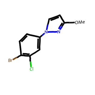 [CH2]Oc1ccn(-c2ccc(Br)c(Cl)c2)n1